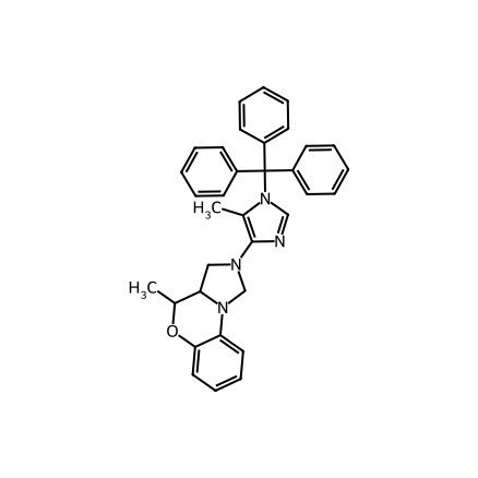 Cc1c(N2CC3C(C)Oc4ccccc4N3C2)ncn1C(c1ccccc1)(c1ccccc1)c1ccccc1